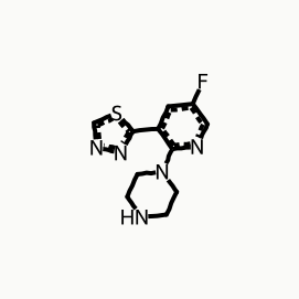 Fc1cnc(N2CCNCC2)c(-c2nncs2)c1